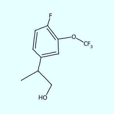 C[C](CO)c1ccc(F)c(OC(F)(F)F)c1